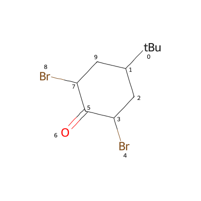 CC(C)(C)C1CC(Br)C(=O)C(Br)C1